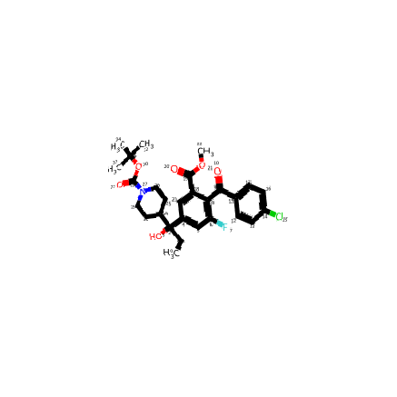 CCC(O)(c1cc(F)c(C(=O)c2ccc(Cl)cc2)c(C(=O)OC)c1)C1CCN(C(=O)OC(C)(C)C)CC1